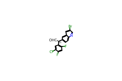 O=C[C@@H](c1ccc2ncc(Br)cc2c1)c1cc(Cl)c(F)cc1F